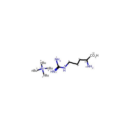 CCCC[N+](CCCC)(CCCC)CCCC.N=C(N)NCCCC(N)C(=O)O